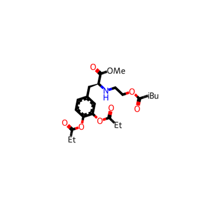 CCC(=O)Oc1ccc(C[C@H](NCCOC(=O)C(C)CC)C(=O)OC)cc1OC(=O)CC